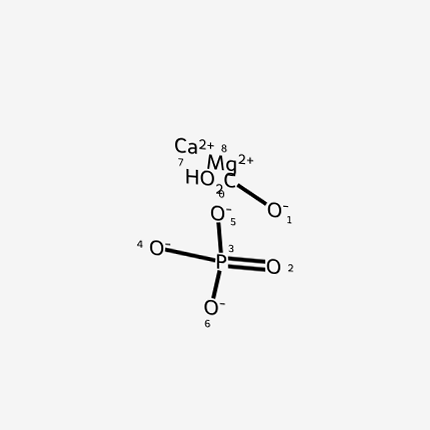 O=C([O-])O.O=P([O-])([O-])[O-].[Ca+2].[Mg+2]